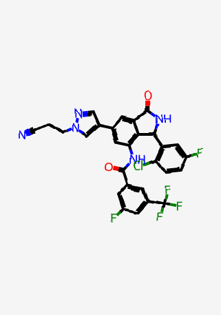 N#CCCn1cc(-c2cc(NC(=O)c3cc(F)cc(C(F)(F)F)c3)c3c(c2)C(=O)NC3c2cc(F)ccc2Cl)cn1